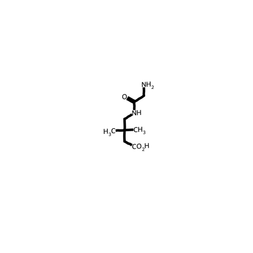 CC(C)(CNC(=O)CN)CC(=O)O